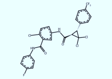 O=C(Nc1ccc(F)cc1)c1cc(NC(=O)[C@H]2[C@H](c3ccc(C(F)(F)F)cc3)C2(Cl)Cl)ccc1Cl